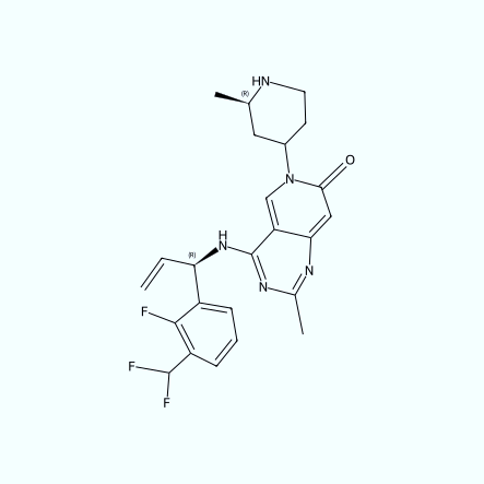 C=C[C@@H](Nc1nc(C)nc2cc(=O)n(C3CCN[C@H](C)C3)cc12)c1cccc(C(F)F)c1F